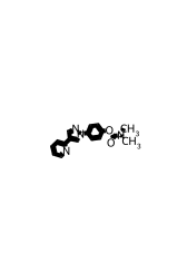 CN(C)C(=O)Oc1ccc(-n2cc(-c3ccccn3)cn2)cc1